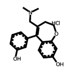 CN(C)CC1=C(c2cccc(O)c2)c2ccc(O)cc2OCC1.Cl